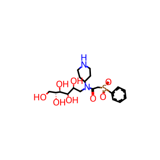 O=C(CS(=O)(=O)c1ccccc1)N(C[C@H](O)[C@@H](O)[C@H](O)[C@H](O)CO)C1CCNCC1